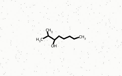 CCCCCC(O)C(C)C